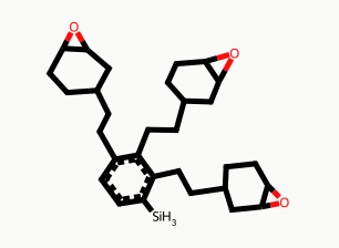 [SiH3]c1ccc(CCC2CCC3OC3C2)c(CCC2CCC3OC3C2)c1CCC1CCC2OC2C1